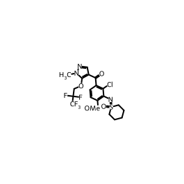 COc1ccc(C(=O)c2cnn(C)c2OCC(F)(F)C(F)(F)F)c(Cl)c1N=S1(=O)CCCCC1